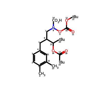 Cc1ccc(CC(CN(OC(=O)OC(C)(C)C)C(=O)O)C(OC(=O)C(C)(C)C)C(C)(C)C)cc1C